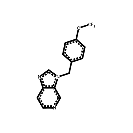 FC(F)(F)Oc1ccc(Cn2cnc3ccncc32)cc1